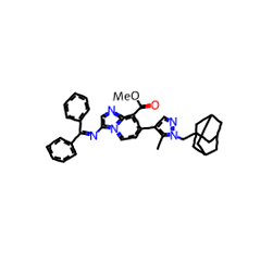 COC(=O)c1c(-c2cnn(CC34CC5CC(CC(C5)C3)C4)c2C)ccn2c(N=C(c3ccccc3)c3ccccc3)cnc12